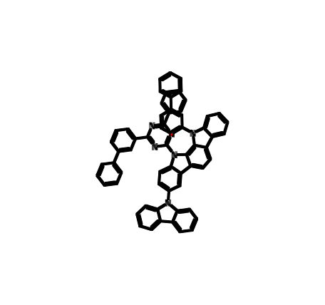 c1ccc(-c2cccc(-c3nc(-c4ccccc4)nc(-n4c5ccc(-n6c7ccccc7c7ccccc76)cc5c5ccc6c7ccccc7n(-c7cccc(-c8ccccc8)c7)c6c54)n3)c2)cc1